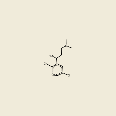 CN(C)CCC(O)c1cc(Cl)ccc1Cl